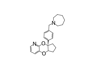 c1cnc2c(c1)OC1CCC[C@@]1(c1ccc(CN3CCCCCC3)cc1)O2